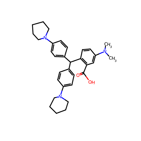 CN(C)c1ccc(C(c2ccc(N3CCCCC3)cc2)c2ccc(N3CCCCC3)cc2)c(C(=O)O)c1